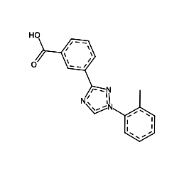 Cc1ccccc1-n1cnc(-c2cccc(C(=O)O)c2)n1